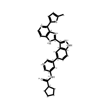 Cc1ccc(-c2nccc3[nH]c(-c4n[nH]c5ccc(-c6cncc(NC(=O)C7CCCC7)c6)cc45)nc23)s1